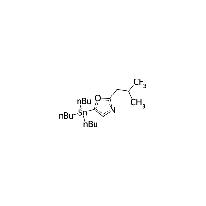 CCC[CH2][Sn]([CH2]CCC)([CH2]CCC)[c]1cnc(CC(C)C(F)(F)F)o1